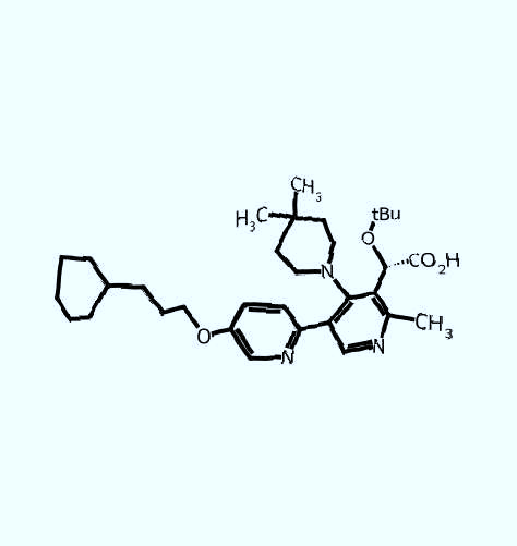 Cc1ncc(-c2ccc(OCCCC3CCCCC3)cn2)c(N2CCC(C)(C)CC2)c1[C@H](OC(C)(C)C)C(=O)O